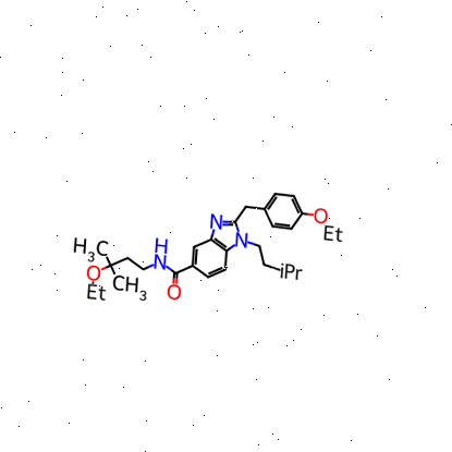 CCOc1ccc(Cc2nc3cc(C(=O)NCCC(C)(C)OCC)ccc3n2CCC(C)C)cc1